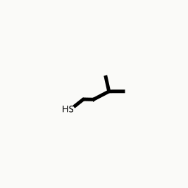 CC(C)[CH]CS